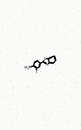 Nc1ccc(-c2nc3ccccc3s2)cc1I